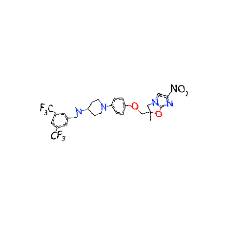 CN(Cc1cc(C(F)(F)F)cc(C(F)(F)F)c1)C1CCN(c2ccc(OCC3(C)Cn4cc([N+](=O)[O-])nc4O3)cc2)CC1